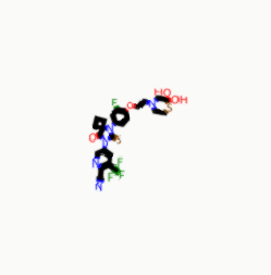 N#Cc1ncc(N2C(=O)C3(CCC3)N(c3ccc(OCCN4CCSC(O)(O)C4)c(F)c3)C2=S)cc1C(F)(F)F